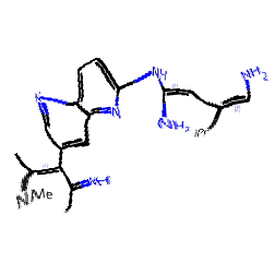 CN/C(C)=C(\C(C)=N)c1cnc2ccc(N/C(N)=C/C(=C\N)C(C)C)nc2c1